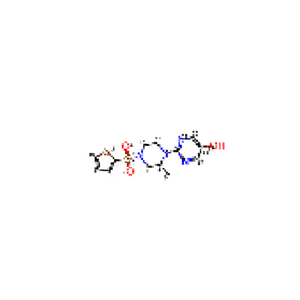 C[C@H]1CN(S(=O)(=O)c2cccs2)CCN1c1ncc(O)cn1